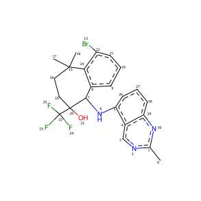 Cc1ncc2c(NC3c4cccc(Br)c4C(C)(C)CCC3(O)C(F)(F)F)cccc2n1